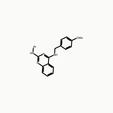 COc1ccc(CNc2nc(NC(C)C)nc3ccccc23)cc1